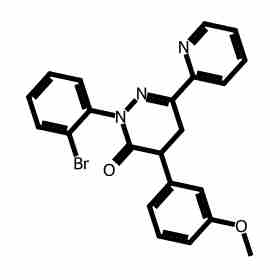 COc1cccc(C2CC(c3ccccn3)=NN(c3ccccc3Br)C2=O)c1